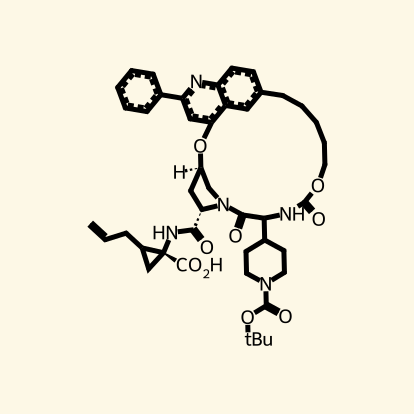 C=CCC1C[C@]1(NC(=O)[C@@H]1C[C@@H]2CN1C(=O)C(C1CCN(C(=O)OC(C)(C)C)CC1)NC(=O)OCCCCCc1ccc3nc(-c4ccccc4)cc(c3c1)O2)C(=O)O